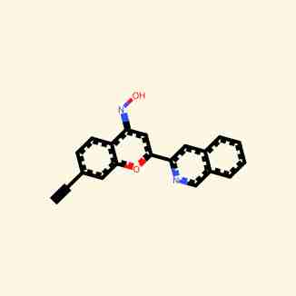 C#Cc1ccc2c(=NO)cc(-c3cc4ccccc4cn3)oc2c1